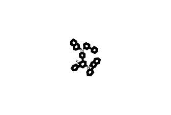 c1ccc(-c2cccc(N(c3ccc(-c4cc(-n5c6ccccc6c6cc7ccccc7cc65)cc5c4sc4ccccc45)cc3)c3ccc4ccccc4c3)c2)cc1